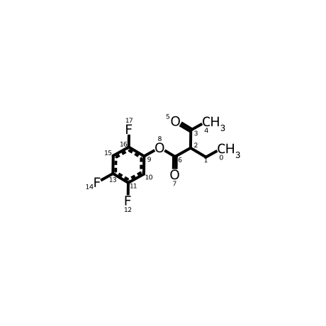 CCC(C(C)=O)C(=O)Oc1cc(F)c(F)cc1F